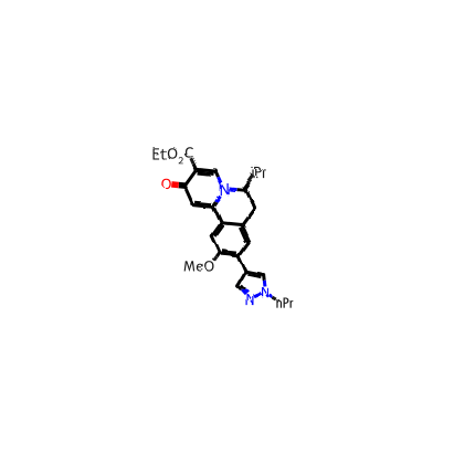 CCCn1cc(-c2cc3c(cc2OC)-c2cc(=O)c(C(=O)OCC)cn2C(C(C)C)C3)cn1